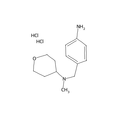 CN(Cc1ccc(N)cc1)C1CCOCC1.Cl.Cl